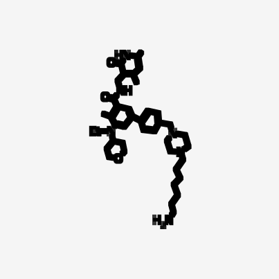 CCN(c1cc(-c2ccc(CN3CCN(CCCCCCCN)CC3)cc2)cc(C(=O)NCc2c(C)cc(C)[nH]c2=O)c1C)C1CCOCC1